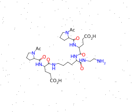 CC(=O)N1CCCC1C(=O)NC(CCC(=O)O)C(=O)NCCCCC(NC(=O)C(CCC(=O)O)NC(=O)C1CCCN1C(C)=O)C(=O)NCCN